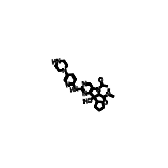 CC(=O)N1c2cnc(Nc3ccc(N4CCNCC4)cn3)nc2C(O)(C2CCCC2)C1C(=O)N(C)C